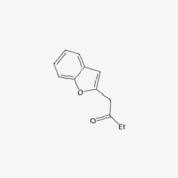 CCC(=O)Cc1cc2ccccc2o1